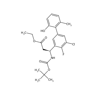 CCOC(=O)C[C@H](NC(=O)OC(C)(C)C)c1cc(-c2c(C)cccc2O)cc(Cl)c1F